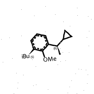 CC[C@H](C)c1cccc([C@H](C)C2CC2)c1OC